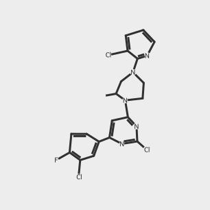 CC1CN(c2ncccc2Cl)CCN1c1cc(-c2ccc(F)c(Cl)c2)nc(Cl)n1